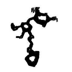 COc1cc(Cc2cnc(N)nc2N)cc(OCCOc2ccccc2)c1OC